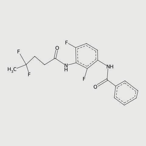 CC(F)(F)CCC(=O)Nc1c(F)ccc(NC(=O)c2ccccc2)c1F